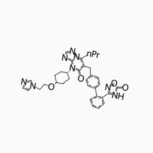 CCCc1c(Cc2ccc(-c3ccccc3-c3noc(=O)[nH]3)cc2)c(=O)n([C@H]2CC[C@H](OCCn3ccnc3)CC2)c2ncnn12